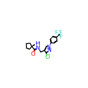 CC1(C(=O)NCc2cn(-c3ccc(C(F)(F)F)cc3)nc2Cl)CCCC1